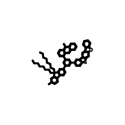 CCCCCCCCC1(CCCCCCCC)c2cc(C)ccc2-c2ccc(-c3cc(-c4ccc5sc6cc7oc8ccccc8c7cc6c5c4)cc(-c4cccc5c(C)c6ccccc6cc45)c3)cc21